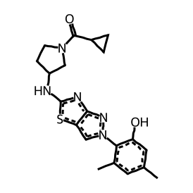 Cc1cc(C)c(-n2cc3sc(NC4CCN(C(=O)C5CC5)C4)nc3n2)c(O)c1